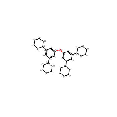 c1c(Oc2cc(C3CCCCC3)cc(C3CCCCC3)c2)cc(C2CCCCC2)cc1C1CCCCC1